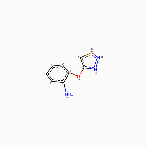 Nc1ccccc1Oc1csnn1